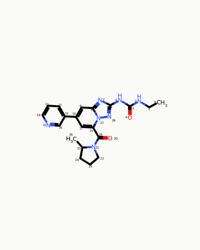 CCNC(=O)Nc1nc2cc(-c3cccnc3)cc(C(=O)N3CCCC3C)n2n1